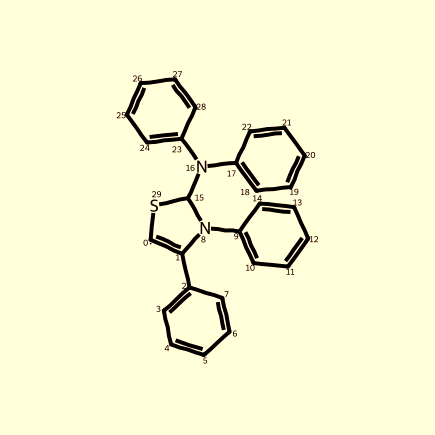 [C]1=C(c2ccccc2)N(c2ccccc2)C(N(c2ccccc2)c2ccccc2)S1